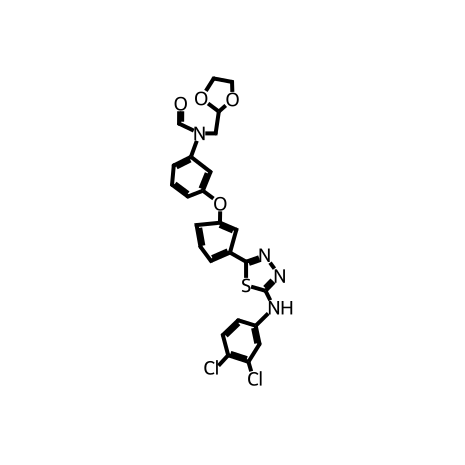 O=CN(CC1OCCO1)c1cccc(Oc2cccc(-c3nnc(Nc4ccc(Cl)c(Cl)c4)s3)c2)c1